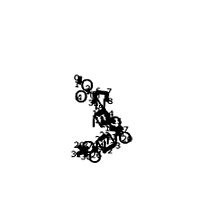 CCOC(=O)[C@@H]1CCCN(c2cncc(OC(C)(C)C(=O)N3CCN(C(=O)OC(C)(C)C)CC3)c2)C1